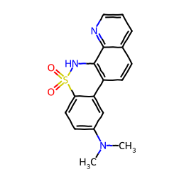 CN(C)c1ccc2c(c1)-c1ccc3cccnc3c1NS2(=O)=O